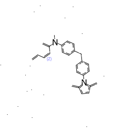 C=C/C=C\C(=C)N(C)c1ccc(Cc2ccc(-n3c(=C)ccc3=C)cc2)cc1